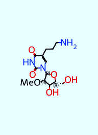 CO[C@@H]1C(O)[C@@H](CO)O[C@H]1n1cc(CCCN)c(=O)[nH]c1=O